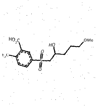 COCCCC(O)CS(=O)(=O)c1ccc(C(F)(F)F)c(C(=O)O)c1